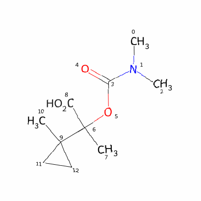 CN(C)C(=O)OC(C)(C(=O)O)C1(C)CC1